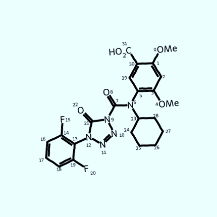 COc1cc(OC)c(N(C(=O)n2nnn(-c3c(F)cccc3F)c2=O)C2CCCCC2)cc1C(=O)O